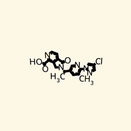 Cc1cc(C(C)N2Cc3c(ccnc3C(=O)O)C2=O)cnc1-n1cc(Cl)cn1